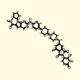 CN(C)C(=O)c1cc2cnc(Nc3ccc(N4CCC(N5CCN(Cc6cc(F)c7c(c6)C(=O)N(C6CCC(=O)NC6=O)C7=O)CC5)CC4)cn3)nc2n1C1CCCC1